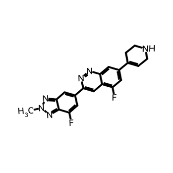 Cn1nc2cc(-c3cc4c(F)cc(C5=CCNCC5)cc4nn3)cc(F)c2n1